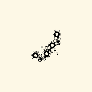 O=C(Oc1ccccc1)Oc1ccc(C(c2ccc(OC(=O)Oc3ccccc3)cc2)(C(F)(F)F)C(F)(F)F)cc1